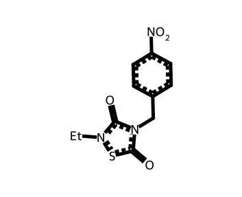 CCn1sc(=O)n(Cc2ccc([N+](=O)[O-])cc2)c1=O